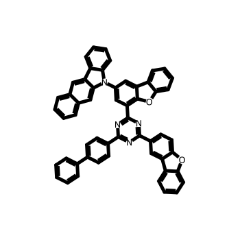 c1ccc(-c2ccc(-c3nc(-c4ccc5oc6ccccc6c5c4)nc(-c4cc(-n5c6ccccc6c6cc7ccccc7cc65)cc5c4oc4ccccc45)n3)cc2)cc1